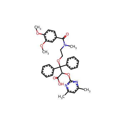 COc1ccc(C(=O)N(C)CCOC(c2ccccc2)(c2ccccc2)C(Oc2nc(C)cc(C)n2)C(=O)O)cc1OC